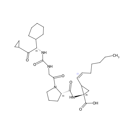 CCCCC/C=C\C1C[C@]1(NC(=O)[C@@H]1CCCN1C(=O)CNC(=O)N[C@H](C(=O)C1CC1)C1CCCCC1)C(=O)O